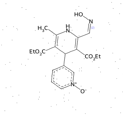 CCOC(=O)C1=C(C)NC(/C=N\O)=C(C(=O)OCC)C1c1ccc[n+]([O-])c1